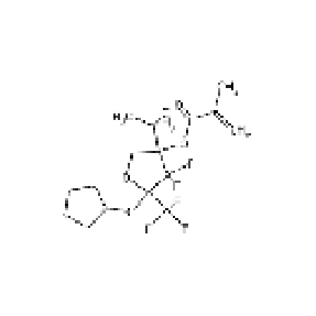 C=C(C)C(=O)OC1(C(C)C)COC(OC2CCCC2)(C(F)(F)F)C1(F)F